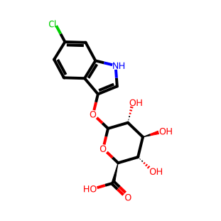 O=C(O)[C@H]1OC(Oc2c[nH]c3cc(Cl)ccc23)[C@H](O)[C@@H](O)[C@@H]1O